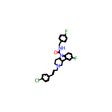 O=C(NCc1ccc(F)cc1)n1c2c(c3cc(F)ccc31)CN(C/C=C/c1ccc(Cl)cc1)CC2